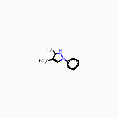 O=C(O)C1=CN(c2ccccc2)NC1C(F)(F)F